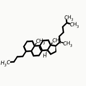 CCCCC1CCC[C@]2(C)C3=C(CCC12)[C@@H]1CC[C@H]([C@H](C)CCCC(C)C)[C@@]1(C)CC3